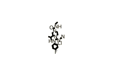 CCNC(=O)N1CCN(/C(=N\C#N)Nc2ccc(F)cc2Cl)C(C(C)C)C1